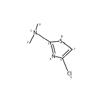 CN(C)c1nc(Cl)cs1